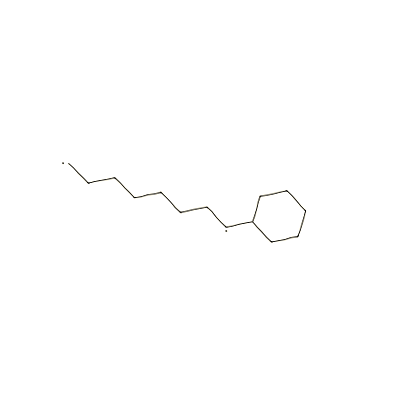 [CH2]CCCCCC[CH]C1CCCCC1